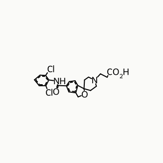 O=C(O)CCN1CCC2(CC1)OCc1cc(C(=O)Nc3c(Cl)cccc3Cl)ccc12